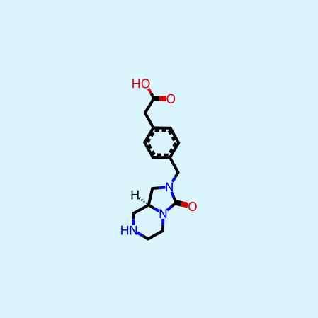 O=C(O)Cc1ccc(CN2C[C@@H]3CNCCN3C2=O)cc1